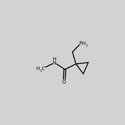 CNC(=O)C1(CP)CC1